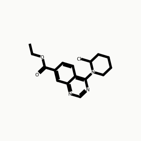 CCOC(=O)c1ccc2c(N3CCCCC3Cl)ncnc2c1